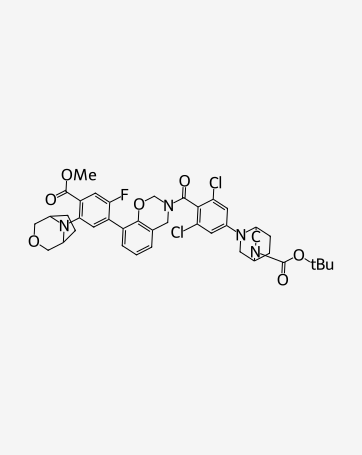 COC(=O)c1cc(F)c(-c2cccc3c2OCN(C(=O)c2c(Cl)cc(N4CC5CCC4CN5C(=O)OC(C)(C)C)cc2Cl)C3)cc1N1C2CCC1COC2